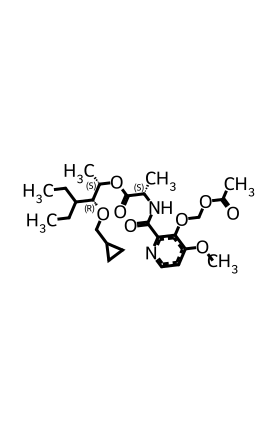 CCC(CC)[C@@H](OCC1CC1)[C@H](C)OC(=O)[C@H](C)NC(=O)c1nccc(OC)c1OCOC(C)=O